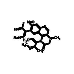 C/C=C(\C(C)=N/C)N1C(=O)CN(C)c2cnc3cc(OC)c(/C(=C/NC)C(=N)F)cc3c21